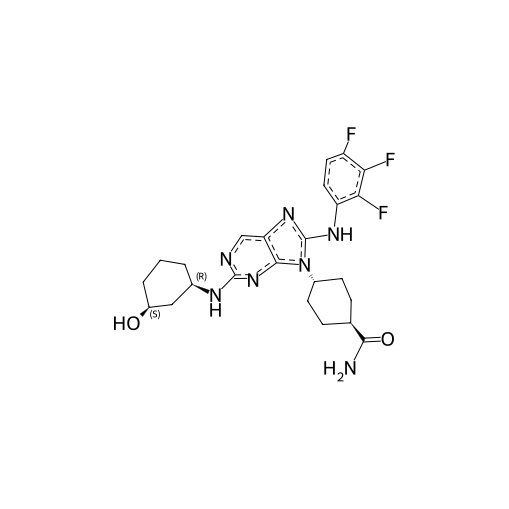 NC(=O)[C@H]1CC[C@H](n2c(Nc3ccc(F)c(F)c3F)nc3cnc(N[C@@H]4CCC[C@H](O)C4)nc32)CC1